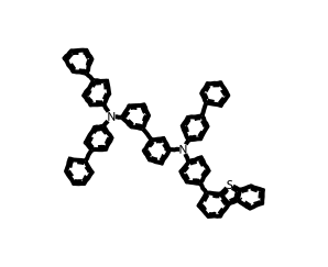 c1ccc(-c2ccc(N(c3ccc(-c4ccccc4)cc3)c3cccc(-c4cccc(N(c5ccc(-c6ccccc6)cc5)c5ccc(-c6cccc7c6sc6ccccc67)cc5)c4)c3)cc2)cc1